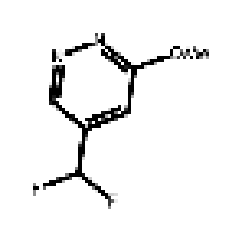 COc1cc(C(F)F)cnn1